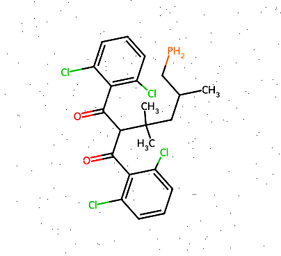 CC(CP)CC(C)(C)C(C(=O)c1c(Cl)cccc1Cl)C(=O)c1c(Cl)cccc1Cl